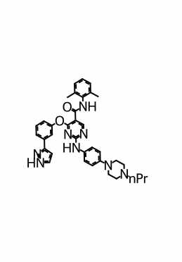 CCCN1CCN(c2ccc(Nc3ncc(C(=O)Nc4c(C)cccc4C)c(Oc4cccc(-c5cc[nH]n5)c4)n3)cc2)CC1